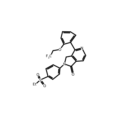 CCS(=O)(=O)c1ccc(N2Cc3c(ccnc3-c3ccccc3OCC(F)(F)F)C2=O)cc1